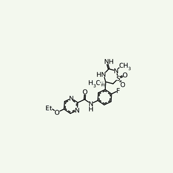 CCOc1cnc(C(=O)Nc2ccc(F)c([C@]3(C)CS(=O)(=O)N(C)C(=N)N3)c2)nc1